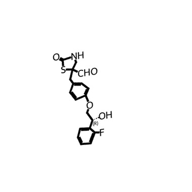 O=CC1(Cc2ccc(OC[C@H](O)c3ccccc3F)cc2)CNC(=O)S1